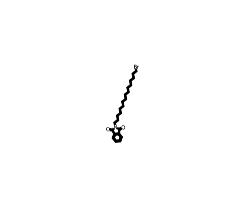 O=C1c2ccccc2C(=O)N1CCCCCCCCCCCCCCCCBr